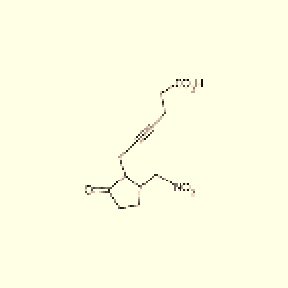 O=C(O)CCC#CCC1C(=O)CCC1C[N+](=O)[O-]